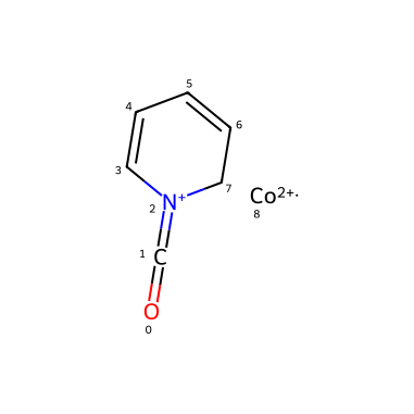 O=C=[N+]1C=CC=CC1.[Co+2]